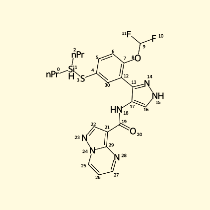 CCC[SiH](CCC)Sc1ccc(OC(F)F)c(-c2n[nH]cc2NC(=O)c2cnn3cccnc23)c1